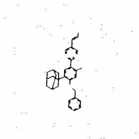 CCOC(=O)/C=C/c1cnc(-c2cc(C34CC5CC(CC(C5)C3)C4)c(OCc3ccccc3)cc2C)nc1